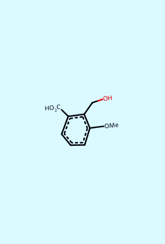 COc1cccc(C(=O)O)c1CO